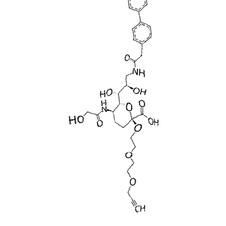 C#CCOCCOCCO[C@@]1(C(=O)O)CC[C@@H](NC(=O)CO)[C@H]([C@H](O)[C@H](O)CNC(=O)Cc2ccc(-c3ccccc3)cc2)O1